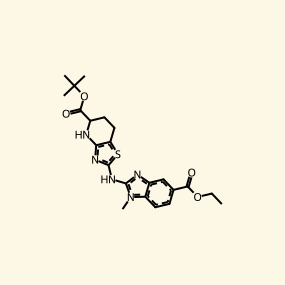 CCOC(=O)c1ccc2c(c1)nc(Nc1nc3c(s1)CCC(C(=O)OC(C)(C)C)N3)n2C